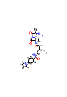 CCC(N)C(=O)N1CC(=O)C2C1CCN2C(=O)CC(C)CCNC(=O)c1ccc(N2CCCC2)cc1